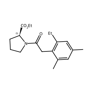 CCOC(=O)[C@@H]1CCCN1C(=O)Cc1c(C)cc(C)cc1CC